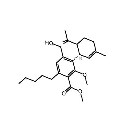 C=C(C)C1CCC(C)=C[C@@H]1c1c(CO)cc(CCCCC)c(C(=O)OC)c1OC